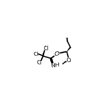 CC[C@@H](OC)OC(=N)C(Cl)(Cl)Cl